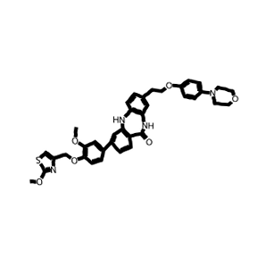 COc1nc(COc2ccc(-c3ccc4c(c3)Nc3ccc(CCOc5ccc(N6CCOCC6)cc5)cc3NC4=O)cc2OC)cs1